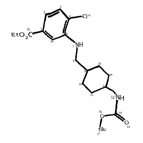 CCOC(=O)c1ccc(Cl)c(NCC2CCC(NC(=O)OC(C)(C)C)CC2)c1